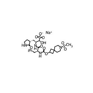 CC(C)C[C@H](NC(=O)OC1CC2(CCN(S(C)(=O)=O)CC2)C1)C(=O)N[C@@H](C[C@H]1CCNC1=O)C(O)S(=O)(=O)[O-].[Na+]